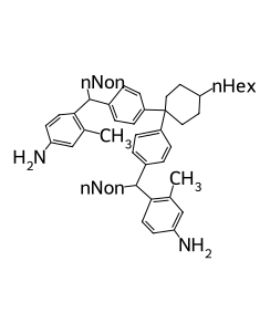 CCCCCCCCCC(c1ccc(C2(c3ccc(C(CCCCCCCCC)c4ccc(N)cc4C)cc3)CCC(CCCCCC)CC2)cc1)c1ccc(N)cc1C